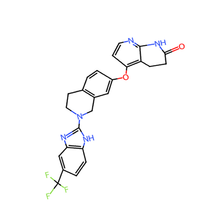 O=C1CCc2c(Oc3ccc4c(c3)CN(c3nc5cc(C(F)(F)F)ccc5[nH]3)CC4)ccnc2N1